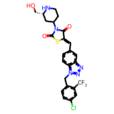 O=C1S/C(=C\c2ccc3c(c2)nnn3Cc2ccc(Cl)cc2C(F)(F)F)C(=O)N1C1CCN[C@@H](CO)C1